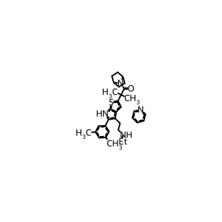 CCNCCc1c(-c2cc(C)cc(C)c2)[nH]c2sc(C(C)(C)C(=O)N3C4CCC3CC4)cc12.c1ccncc1